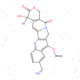 CCCCCOc1c2c(nc3ccc(C=N)cc13)-c1cc3c(c(=O)n1C2)COC(=O)C3(O)CC